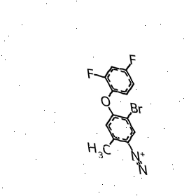 Cc1cc(Oc2ccc(F)cc2F)c(Br)cc1[N+]#N